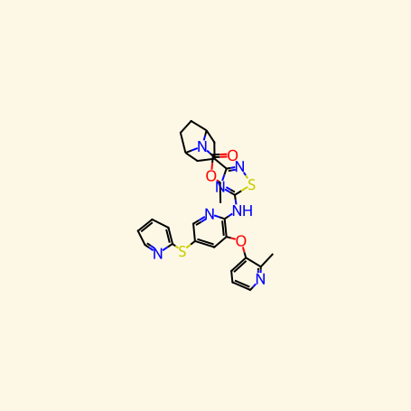 CCOC(=O)N1C2CCC1CC(c1nsc(Nc3ncc(Sc4ccccn4)cc3Oc3cccnc3C)n1)C2